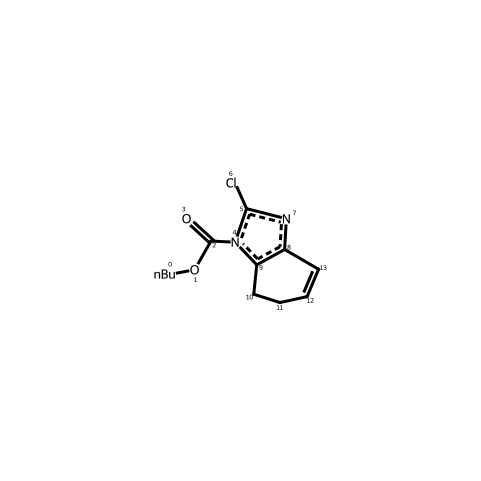 CCCCOC(=O)n1c(Cl)nc2c1CCC=C2